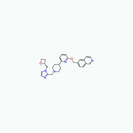 c1cc(OCc2ccc3cnccc3c2)nc(C2CCN(Cc3nccn3C[C@@H]3CCO3)CC2)c1